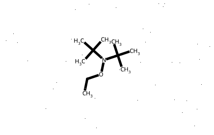 CCON(C(C)(C)C)C(C)(C)C